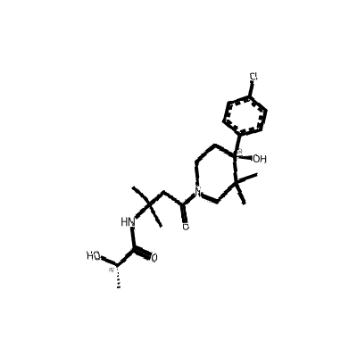 C[C@H](O)C(=O)NC(C)(C)CC(=O)N1CC[C@](O)(c2ccc(Cl)cc2)C(C)(C)C1